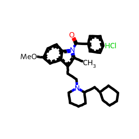 COc1ccc2c(c1)c(CCN1CCCCC1CC1CCCCC1)c(C)n2C(=O)c1ccccc1.Cl